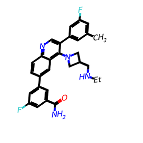 CCNCC1CN(c2c(-c3cc(C)cc(F)c3)cnc3ccc(-c4cc(F)cc(C(N)=O)c4)cc23)C1